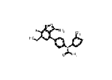 NC(=O)N(c1ccc(-c2cc(CO)c(F)c3[nH]nc(N)c23)cc1)c1cccc(C(F)(F)F)c1